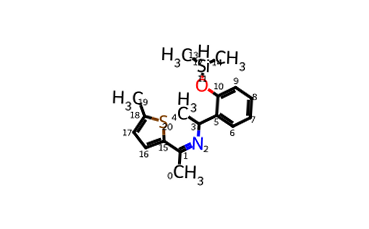 CC(=NC(C)c1ccccc1O[SiH](C)C)c1ccc(C)s1